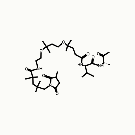 CC(=O)[C@H](C)NC(=O)[C@@H](NC(=O)CCC(C)(C)OCCC(C)(C)OCCNC(=O)C(C)(C)CC(C)(C)CN1C(=O)CC(C)C1=O)C(C)C